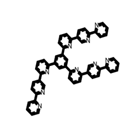 c1ccc(-c2ccc(-c3cccc(-c4cc(-c5cccc(-c6ccc(-c7ccccn7)nc6)n5)cc(-c5cccc(-c6ccc(-c7ccccn7)nc6)n5)c4)n3)cn2)nc1